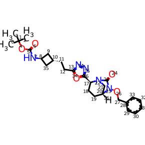 CC(C)(C)OC(=O)N[C@H]1C[C@H](CCc2nnc([C@@H]3CC[C@@H]4CN3C(=O)N4OCc3ccccc3)o2)C1